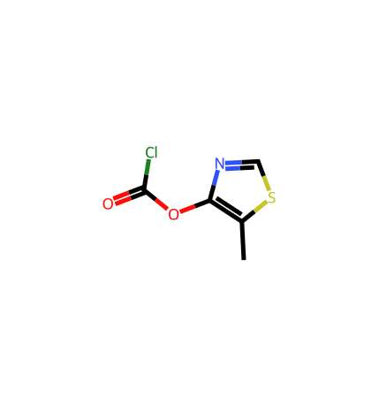 Cc1scnc1OC(=O)Cl